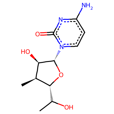 CC(O)[C@H]1O[C@@H](n2ccc(N)nc2=O)[C@H](O)[C@@H]1C